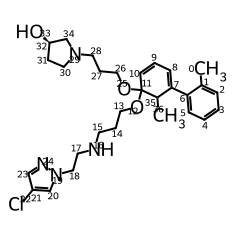 Cc1ccccc1C1=CC=CC(OCCCNCCn2cc(Cl)cn2)(OCCCN2CC[C@@H](O)C2)C1C